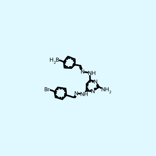 Bc1ccc(/C=N/Nc2cc(N/N=C/c3ccc(Br)cc3)nc(N)n2)cc1